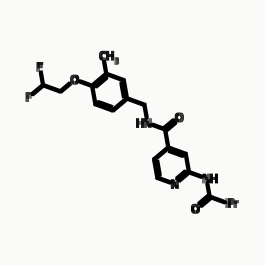 Cc1cc(CNC(=O)c2ccnc(NC(=O)C(C)C)c2)ccc1OCC(F)F